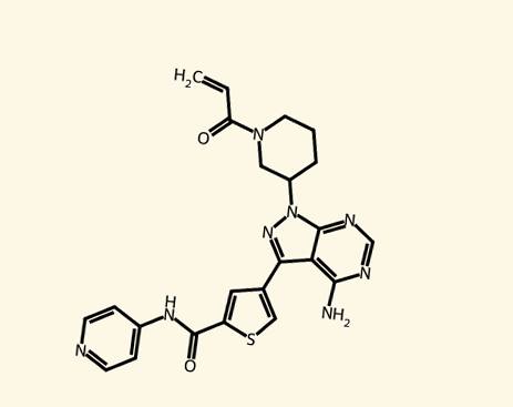 C=CC(=O)N1CCCC(n2nc(-c3csc(C(=O)Nc4ccncc4)c3)c3c(N)ncnc32)C1